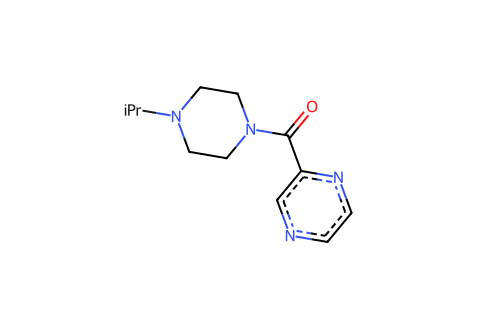 CC(C)N1CCN(C(=O)c2cnccn2)CC1